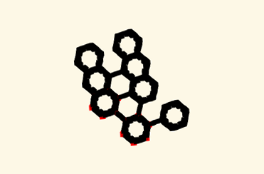 c1ccc(-c2ccccc2-c2ccc3cc4ccccc4c(-c4c5ccccc5cc5ccccc45)c3c2-c2ccccc2-c2ccccc2)cc1